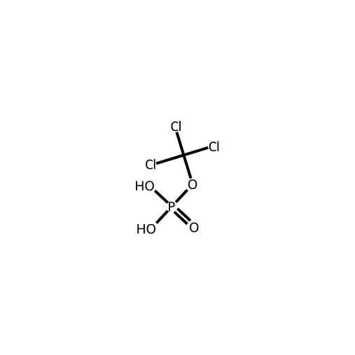 O=P(O)(O)OC(Cl)(Cl)Cl